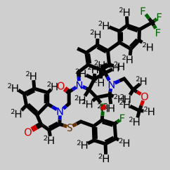 [2H]c1c([2H])c(F)c(F)c(CSc2c([2H])c(=O)c3c([2H])c([2H])c([2H])c([2H])c3n2CC(=O)N(Cc2c([2H])c([2H])c(-c3c([2H])c([2H])c(C(F)(F)F)c([2H])c3[2H])c([2H])c2C)C2([2H])C([2H])([2H])C([2H])([2H])N(CC([2H])([2H])OC([2H])([2H])[2H])C([2H])([2H])C2([2H])[2H])c1[2H]